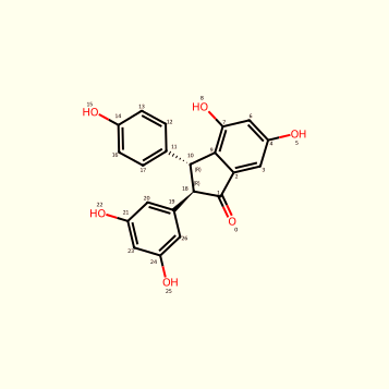 O=C1c2cc(O)cc(O)c2[C@@H](c2ccc(O)cc2)[C@@H]1c1cc(O)cc(O)c1